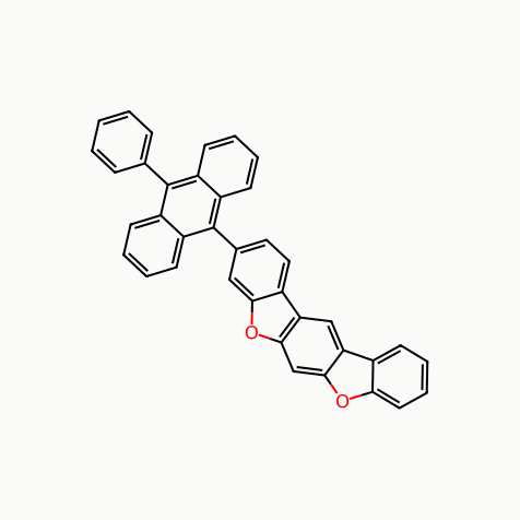 c1ccc(-c2c3ccccc3c(-c3ccc4c(c3)oc3cc5oc6ccccc6c5cc34)c3ccccc23)cc1